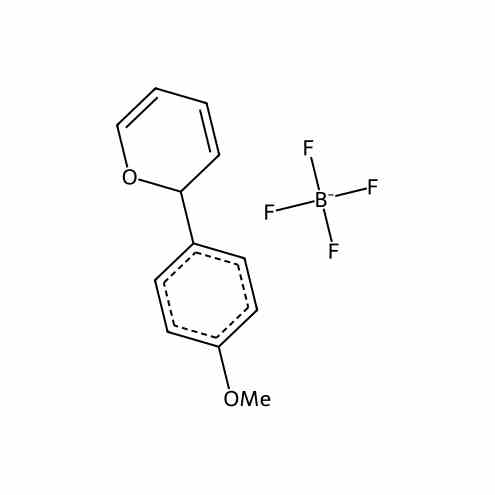 COc1ccc(C2C=CC=CO2)cc1.F[B-](F)(F)F